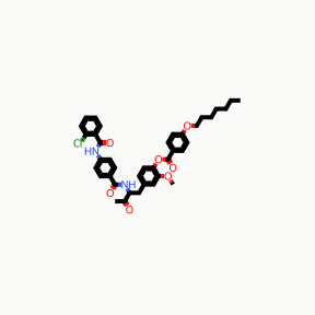 CCCCCCCOc1ccc(C(=O)Oc2ccc(CC(NC(=O)c3ccc(NC(=O)c4ccccc4Cl)cc3)C(C)=O)cc2OC)cc1